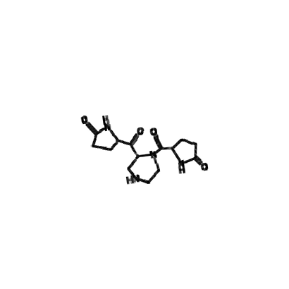 O=C1CCC(C(=O)C2CNCCN2C(=O)C2CCC(=O)N2)N1